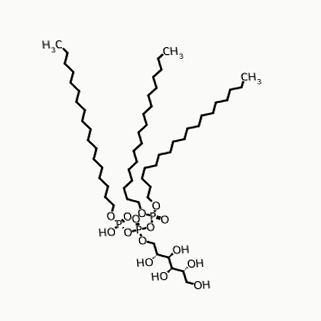 CCCCCCCCCCCCCCCCCCOP(=O)(O)OP(=O)(OC[C@@H](O)[C@@H](O)[C@H](O)[C@H](O)CO)OP(=O)(OCCCCCCCCCCCCCCCCCC)OCCCCCCCCCCCCCCCCCC